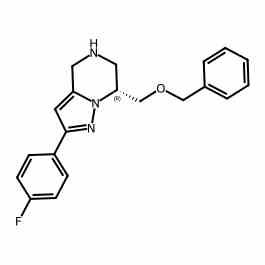 Fc1ccc(-c2cc3n(n2)[C@@H](COCc2ccccc2)CNC3)cc1